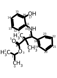 CC(C)OC(=O)C(C)(C)C(Nc1ccccc1O)c1ccccc1